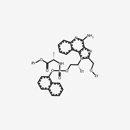 CCOCc1nc2c(N)nc3ccccc3c2n1[C@H](CC)COP(=O)(N[C@@H](C)C(=O)OC(C)C)Oc1cccc2ccccc12